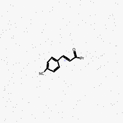 CC(C)C(=O)/C=C/c1ccc(C#N)cc1